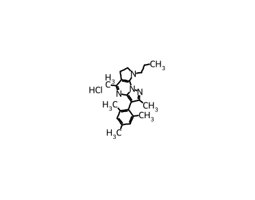 CCCN1CCc2c(C)nc3c(-c4c(C)cc(C)cc4C)c(C)nn3c21.Cl